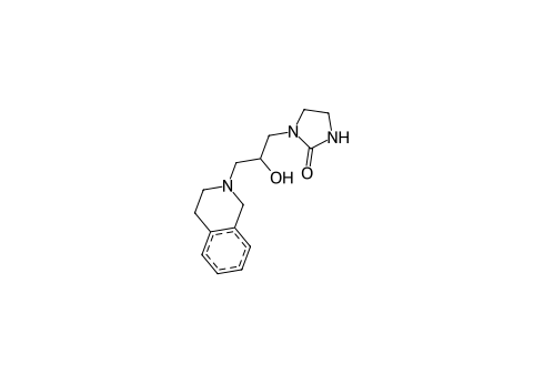 O=C1NCCN1CC(O)CN1CCc2ccccc2C1